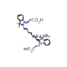 CCCCC1(CCCC)\C(=C/C=C/C=C/C=C/C2=[N+](CCC(=O)O)c3ccccc3C2(C)C)N(CCC(=O)O)c2ccccc21